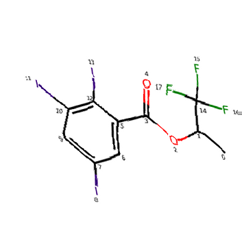 CC(OC(=O)c1cc(I)cc(I)c1I)C(F)(F)F